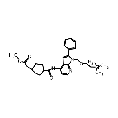 COC(=O)CC1CCC(C(=O)Nc2ccnc3c2cc(-c2ccccc2)n3COCC[Si](C)(C)C)CC1